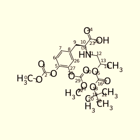 COC(=O)Oc1ccc(C[C@H](NCC(C)OC(=O)OC(C)(C)C)C(=O)O)cc1OC(=O)OC